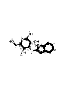 OC[C@H]1O[C@@H](O)[C@H](O)[C@@H](Oc2cc3ccccc3[nH]2)[C@H]1O